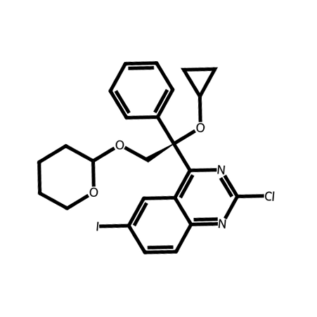 Clc1nc([C@@](COC2CCCCO2)(OC2CC2)c2ccccc2)c2cc(I)ccc2n1